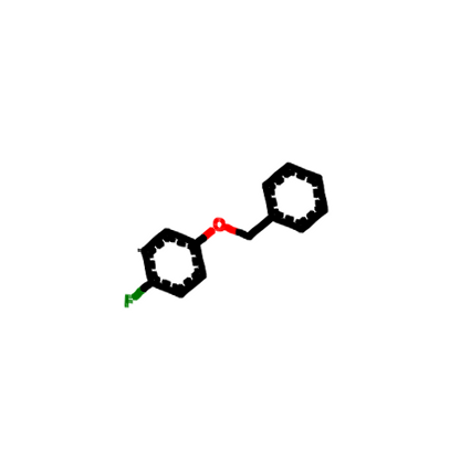 Fc1[c]cc(OCc2ccccc2)cc1